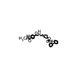 CCN(N)C(=O)c1ccc(C(=O)CNCCN2CCC(OC(=O)Nc3ccccc3-c3ccccc3)CC2)cc1